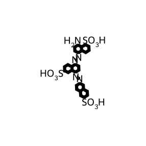 Nc1ccc(N=Nc2ccc(N=Nc3ccc4cc(S(=O)(=O)O)ccc4c3)c3cc(S(=O)(=O)O)ccc23)c2cccc(S(=O)(=O)O)c12